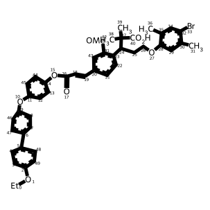 CCOc1ccc(-c2ccc(Oc3ccc(OC(=O)C=Cc4ccc(C(CCOc5cc(C)c(Br)cc5C)C(C)(C)C(=O)O)c(OC)c4)cc3)cc2)cc1